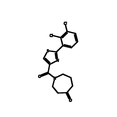 O=C1CCCN(C(=O)c2csc(-c3cccc(Cl)c3Cl)n2)CC1